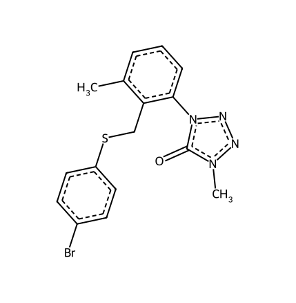 Cc1cccc(-n2nnn(C)c2=O)c1CSc1ccc(Br)cc1